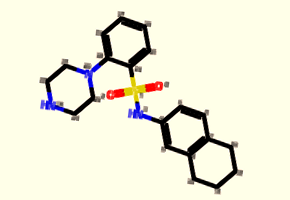 O=S(=O)(Nc1ccc2c(c1)CCCC2)c1ccccc1N1CCNCC1